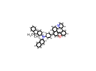 CC1(C)c2ccccc2-c2ccc(N(c3ccc4ccccc4c3)C3C=CC(c4cc5oc6cccc(-c7cccnc7)c6c5c5ccccc45)=CC3)cc21